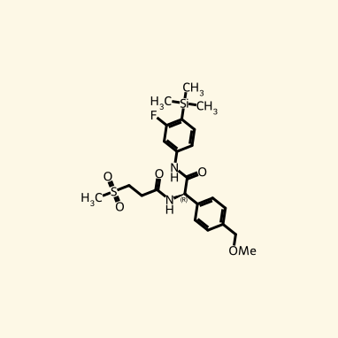 COCc1ccc([C@@H](NC(=O)CCS(C)(=O)=O)C(=O)Nc2ccc([Si](C)(C)C)c(F)c2)cc1